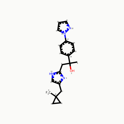 CC(O)(Cc1nc(CC2(C(F)(F)F)CC2)c[nH]1)c1ccc(-n2cccn2)cc1